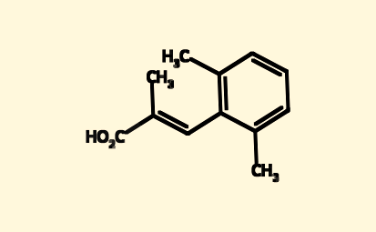 CC(=Cc1c(C)cccc1C)C(=O)O